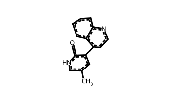 Cc1c[nH]c(=O)c(-c2ccnc3ccccc23)c1